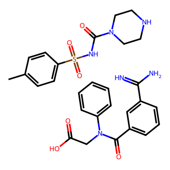 Cc1ccc(S(=O)(=O)NC(=O)N2CCNCC2)cc1.N=C(N)c1cccc(C(=O)N(CC(=O)O)c2ccccc2)c1